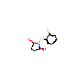 O=C1CCC(=O)N1Sc1ccccc1F